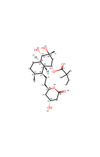 CCC(C)(C)C(=O)O[C@H]1C[C@@](C)(O)[C@@H](O)[C@@H]2CC[C@H](C)[C@H](CC[C@@H]3C[C@@H](O)CC(=O)O3)[C@H]21